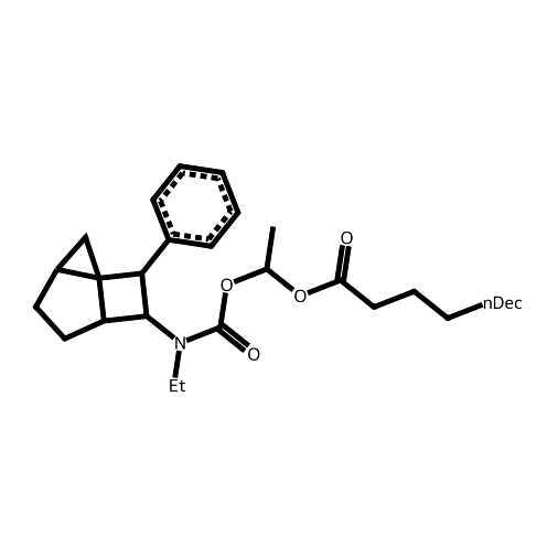 CCCCCCCCCCCCCC(=O)OC(C)OC(=O)N(CC)C1C2CCC3CC32C1c1ccccc1